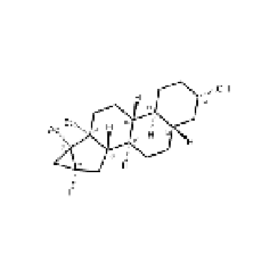 CC[C@]12CC[C@H]3[C@@H](CC[C@H]4C[C@@H](O)CC[C@@H]43)[C@@H]1C[C@H]1C[C@]12C(C)=O